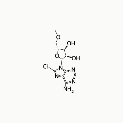 COC[C@H]1OC(n2c(Cl)nc3c(N)ncnc32)[C@H](O)[C@@H]1O